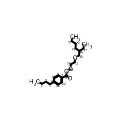 CCCCc1ccc(C(=O)OO[CH]COCC(CC)CCCC)cc1